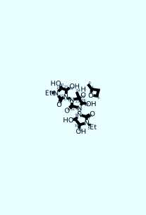 CC1CCO1.CCN1C(=O)N(N2C(=O)N(N3C(=O)N(CC)C(O)C3O)C(C)(O)C2O)C(O)C1O